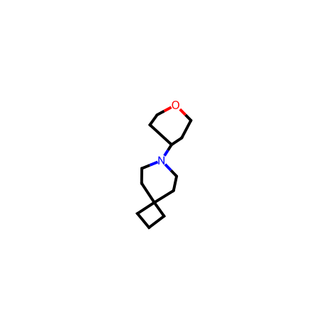 C1CC2(C1)CCN(C1CCOCC1)CC2